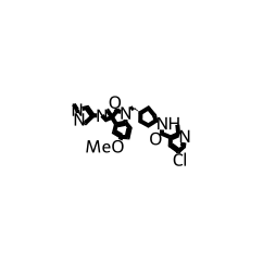 COc1ccc2c(c1)C1(CN(c3cnn(C)c3)C1)C(=O)N2C[C@H]1CC[C@H](NC(=O)c2cc(Cl)cnc2C)CC1